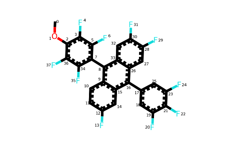 COc1c(F)c(F)c(-c2c3ccc(F)cc3c(-c3cc(F)c(F)c(F)c3)c3cc(F)c(F)cc23)c(F)c1F